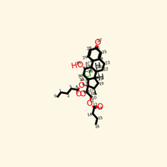 CCCCC(=O)O[C@]1(C(=O)COC(=O)CCC)[C@H](C)C[C@H]2[C@@H]3CCC4=CC(=O)C=C[C@]4(C)[C@@]3(Cl)[C@@H](O)C[C@@]21C